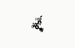 CCSNc1ccnc(-c2cn(C)c(=O)c3ccc(-c4cnn(C)c4)cc23)c1